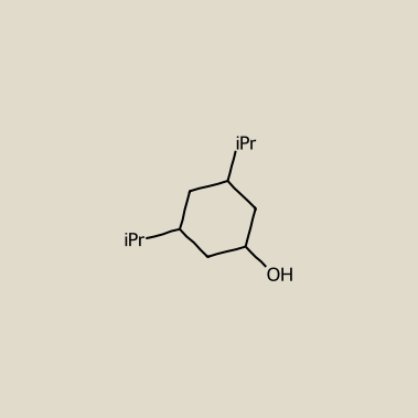 CC(C)C1CC(O)CC(C(C)C)C1